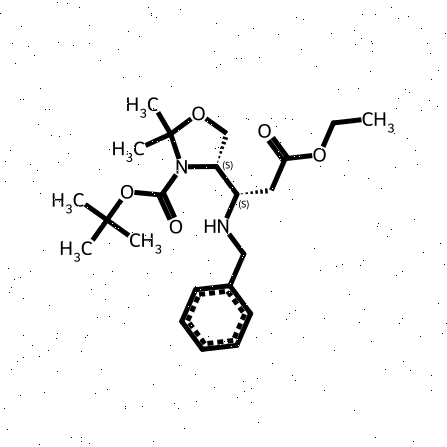 CCOC(=O)C[C@H](NCc1ccccc1)[C@H]1COC(C)(C)N1C(=O)OC(C)(C)C